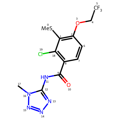 CSc1c(OCC(F)(F)F)ccc(C(=O)Nc2nnnn2C)c1Cl